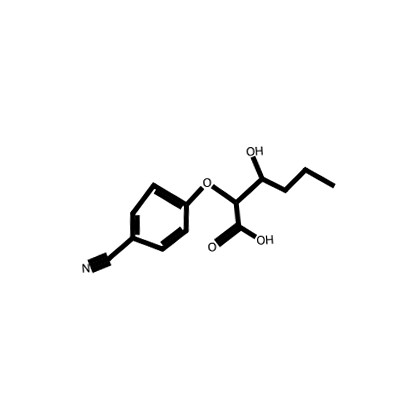 CCCC(O)C(Oc1ccc(C#N)cc1)C(=O)O